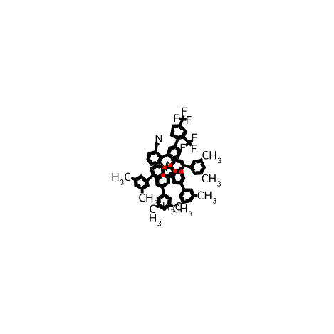 Cc1cc(C)cc(-c2ccc3c(c2)c2cc(-c4cc(C)cc(C)c4)ccc2n3-c2ccc(-c3ccc(C(F)(F)F)cc3C(F)(F)F)cc2-c2c(C#N)cccc2-n2c3ccc(-c4cc(C)cc(C)c4)cc3c3cc(-c4cc(C)cc(C)c4)ccc32)c1